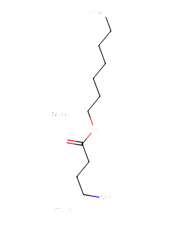 CCCCCCCCCCCCCCCCOC(=O)CC[C@H](N)C(=O)O.[NaH]